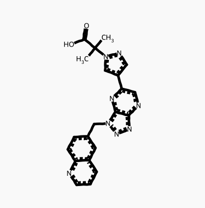 CC(C)(C(=O)O)n1cc(-c2cnc3nnn(Cc4ccc5ncccc5c4)c3n2)cn1